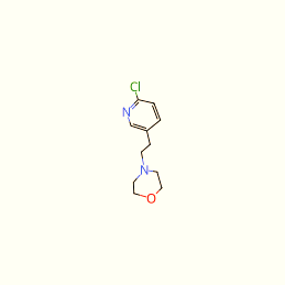 Clc1ccc(CCN2CCOCC2)cn1